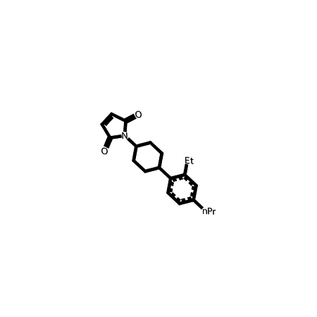 CCCc1ccc(C2CCC(N3C(=O)C=CC3=O)CC2)c(CC)c1